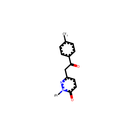 CC(C)n1nc(CC(=O)c2ccc(C(F)(F)F)cc2)ccc1=O